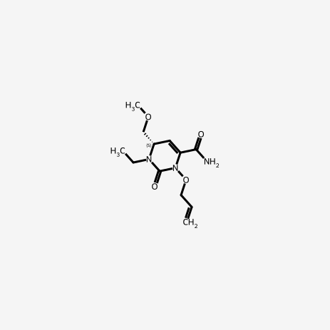 C=CCON1C(=O)N(CC)[C@H](COC)C=C1C(N)=O